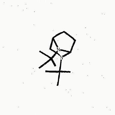 CC(C)(C)N1CC2CCC1N2C(C)(C)C